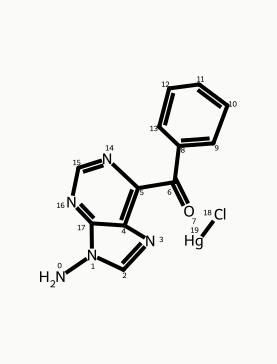 Nn1cnc2c(C(=O)c3ccccc3)ncnc21.[Cl][Hg]